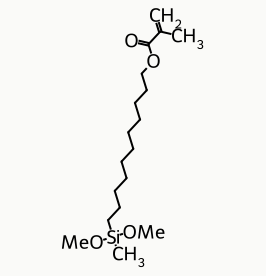 C=C(C)C(=O)OCCCCCCCCCCC[Si](C)(OC)OC